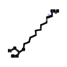 CCOC(OC)OCCCCCCCC/C=C/C(=O)O